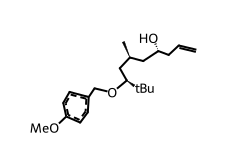 C=CC[C@@H](O)C[C@H](C)C[C@H](OCc1ccc(OC)cc1)C(C)(C)C